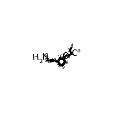 CCC(CC)COc1cccc(C#CCN)c1